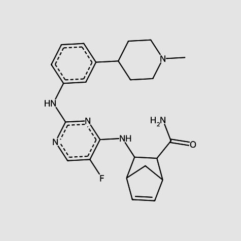 CN1CCC(c2cccc(Nc3ncc(F)c(NC4C5C=CC(C5)C4C(N)=O)n3)c2)CC1